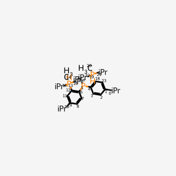 CC(C)c1ccc(P(c2ccc(C(C)C)cc2[PH](C)(C(C)C)C(C)C)C(C)C)c([PH](C)(C(C)C)C(C)C)c1